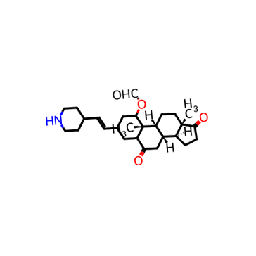 C[C@]12C(OC=O)CC(C=CC3CCNCC3)CC1C(=O)C[C@@H]1[C@H]2CC[C@]2(C)C(=O)CC[C@@H]12